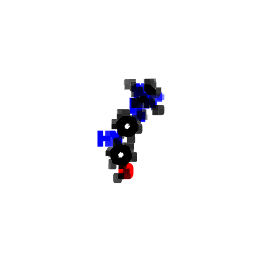 COc1ccc(Nc2ccc(/N=N/c3n(C)cc[n+]3C)cc2)cc1